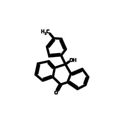 Cc1ccc(C2(O)c3ccccc3C(=O)c3ccccc32)cc1